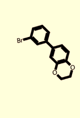 Brc1cccc(-c2ccc3c(c2)OCCO3)c1